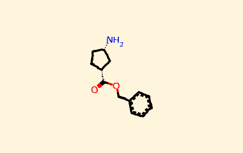 N[C@H]1CC[C@@H](C(=O)OCc2ccccc2)C1